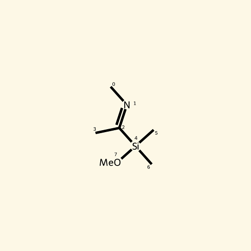 C/N=C(\C)[Si](C)(C)OC